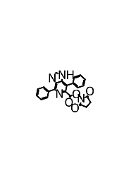 O=C(ON1C(=O)CCC1=O)c1nc(-c2ccccc2)c2nc[nH]c2c1-c1ccccc1